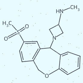 CNC1CN(C2c3cc(S(C)(=O)=O)ccc3COc3ccccc32)C1